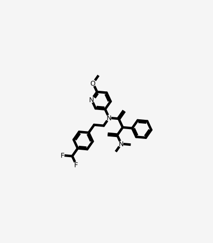 C=C(C(C(=C)N(CCc1ccc(C(F)F)cc1)c1ccc(OC)nc1)c1ccccc1)N(C)C